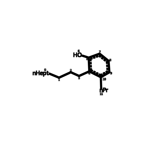 CCCCCCCCCCc1c(O)cccc1CCC